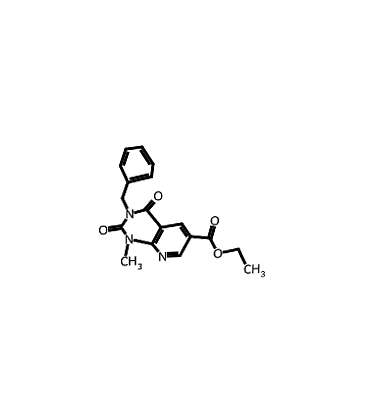 CCOC(=O)c1cnc2c(c1)c(=O)n(Cc1ccccc1)c(=O)n2C